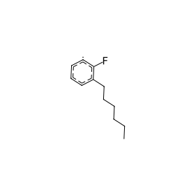 CCCCCCc1ccc[c]c1F